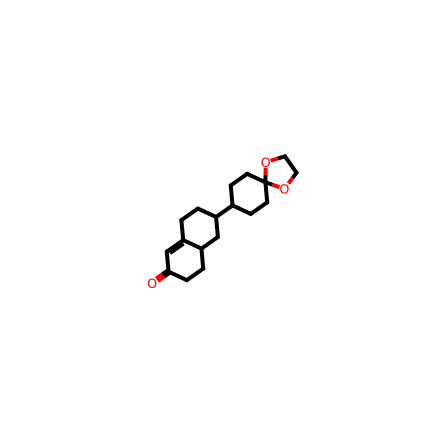 O=C1C=C2CCC(C3CCC4(CC3)OCCO4)CC2CC1